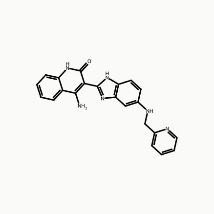 Nc1c(-c2nc3cc(NCc4ccccn4)ccc3[nH]2)c(=O)[nH]c2ccccc12